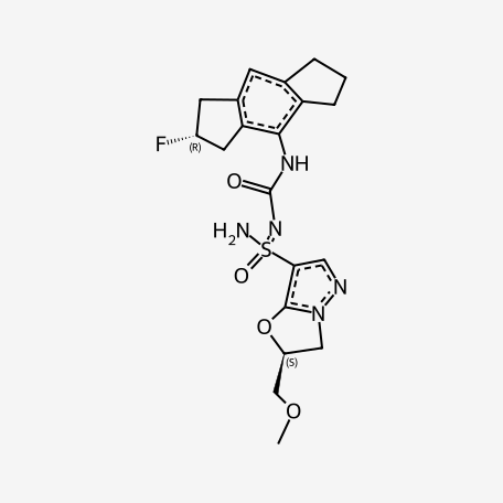 COC[C@@H]1Cn2ncc(S(N)(=O)=NC(=O)Nc3c4c(cc5c3C[C@H](F)C5)CCC4)c2O1